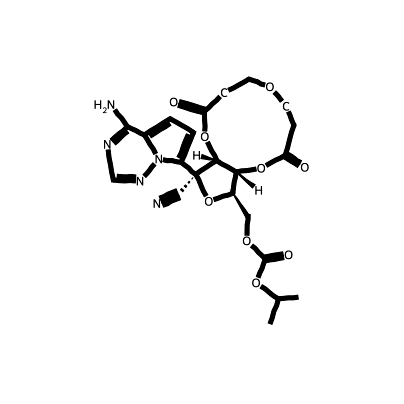 CC(C)OC(=O)OC[C@H]1O[C@@](C#N)(c2ccc3c(N)ncnn23)[C@@H]2OC(=O)CCOCCC(=O)O[C@@H]21